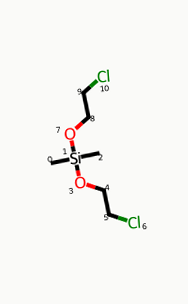 C[Si](C)(OCCCl)OCCCl